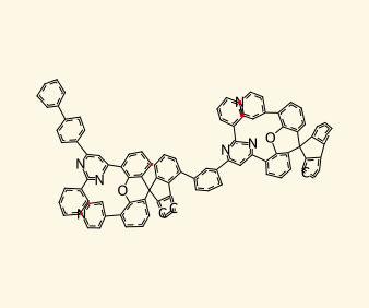 c1ccc(-c2ccc(-c3cc(-c4cccc5c4Oc4c(-c6ccncc6)cccc4C54c5ccccc5-c5c(-c6cccc(-c7cc(-c8cccc9c8Oc8c(-c%10ccncc%10)cccc8C98c9ccccc9-c9ccccc98)nc(-c8ccccc8)n7)c6)cccc54)nc(-c4ccccc4)n3)cc2)cc1